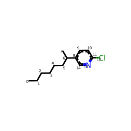 CCCCCCC(C)c1ccc(Cl)nc1